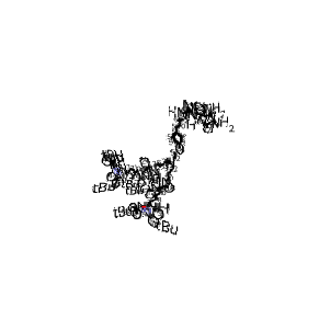 CC(C)(C)OC(=O)/N=C(\NCCCC[C@@H](NC(=O)OC(C)(C)C)C(=O)NCCCN(CCCNC(=O)[C@@H](CCCCN/C(=N\C(=O)OC(C)(C)C)NC(=O)OC(C)(C)C)NC(=O)OC(C)(C)C)CCOc1ccc(CCCCNC(=N)NC(=O)c2nc(Cl)c(N)nc2N)cc1)NC(=O)OC(C)(C)C